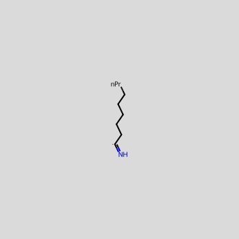 [CH2]CCCCCCC[C]=N